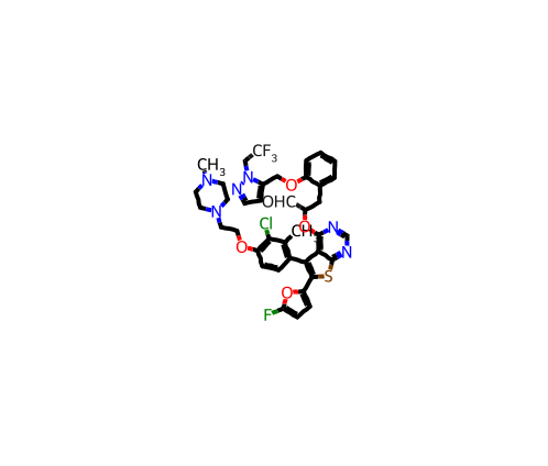 Cc1c(-c2c(-c3ccc(F)o3)sc3ncnc(OC(C=O)Cc4ccccc4OCc4ccnn4CC(F)(F)F)c23)ccc(OCCN2CCN(C)CC2)c1Cl